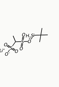 CC(S(=O)(=O)[O-])S(=O)(=O)O[SiH2]C(C)(C)C.[Li+]